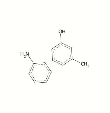 Cc1cccc(O)c1.Nc1ccccc1